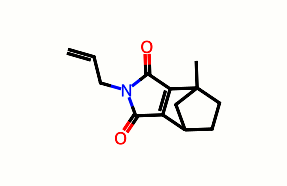 C=CCN1C(=O)C2=C(C1=O)C1(C)CCC2C1